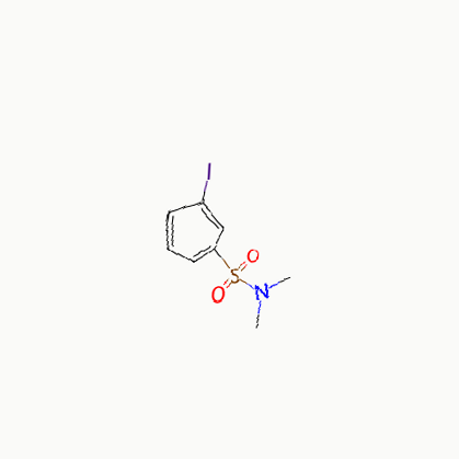 CN(C)S(=O)(=O)c1cccc(I)c1